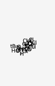 CC(C)(C)OC(=O)NCC(N1C(=O)c2c(Cl)c(Cl)c(Cl)c(Cl)c2C1=O)C(C)(C)C(=O)O